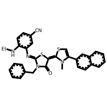 CCNc1ccc(C#N)cc1N=C1SC(=C2SC=C(c3ccc4ccccc4c3)N2C)C(=O)N1Cc1ccccc1